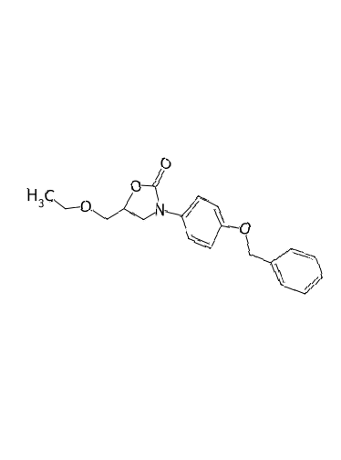 CCOCC1CN(c2ccc(OCc3ccccc3)cc2)C(=O)O1